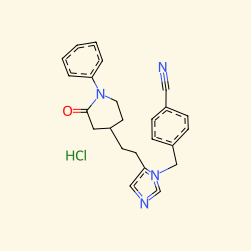 Cl.N#Cc1ccc(Cn2cncc2CCC2CCN(c3ccccc3)C(=O)C2)cc1